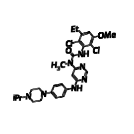 CCc1cc(OC)c(Cl)c(NC(=O)N(C)c2cc(Nc3ccc(N4CCN(C(C)C)CC4)cc3)ncn2)c1Cl